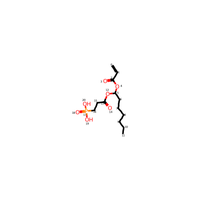 C=CC(=O)OC(CCCCCC)OC(=O)CCP(=O)(O)O